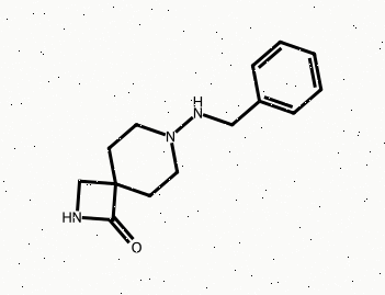 O=C1NCC12CCN(NCc1ccccc1)CC2